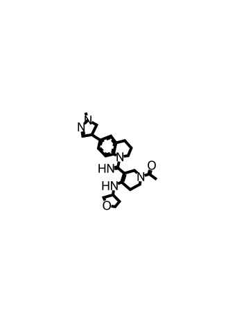 CC(=O)N1CCC(NC2CCOC2)=C(C(=N)N2CCCc3cc(C4C=NN(C)C4)ccc32)C1